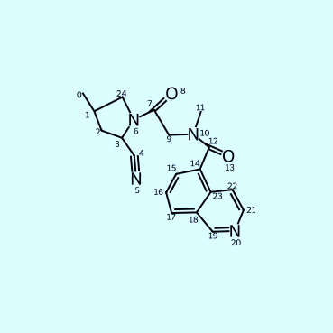 CC1CC(C#N)N(C(=O)CN(C)C(=O)c2cccc3cnccc23)C1